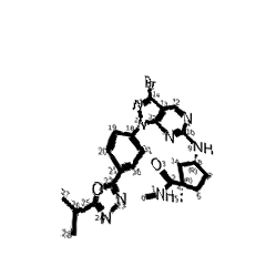 CNC(=O)[C@]1(C)CC[C@@H](Nc2ncc3c(Br)nn(-c4ccc(-c5nnc(C(C)C)o5)cc4)c3n2)C1